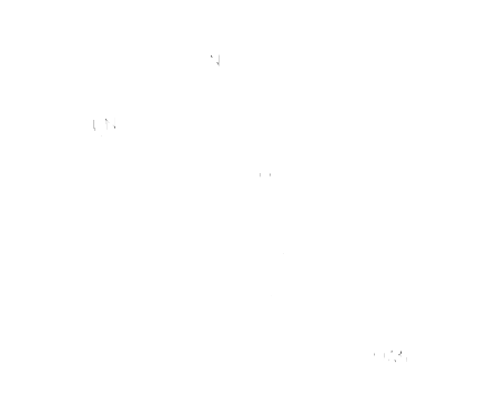 COc1ccc(COc2cncc(N)c2)cc1